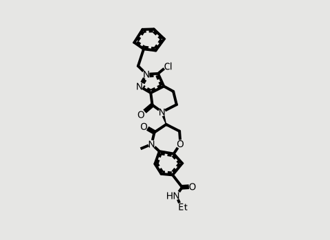 CCNC(=O)c1ccc2c(c1)OC[C@H](N1CCc3c(nn(Cc4ccccc4)c3Cl)C1=O)C(=O)N2C